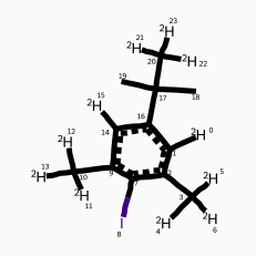 [2H]c1c(C([2H])([2H])[2H])c(I)c(C([2H])([2H])[2H])c([2H])c1C(C)(C)C([2H])([2H])[2H]